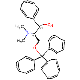 CN(C)[C@H](COC(c1ccccc1)(c1ccccc1)c1ccccc1)[C@H](O)c1ccccc1